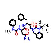 CN(C(=O)NC(CC(N)=O)C(=O)N[C@@H](Cc1ccccc1)C(O)CN(Cc1ccccc1)C(=O)NC(C)(C)C)c1ccccc1